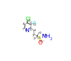 CC(C)(CCc1nccc(Cl)c1F)[S+](N)[O-]